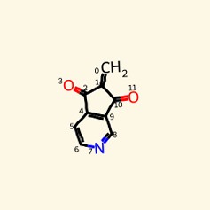 C=C1C(=O)c2ccncc2C1=O